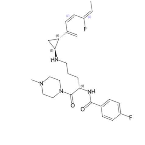 C=C(/C=C\C(F)=C/C)[C@H]1C[C@@H]1NCCC[C@H](NC(=O)c1ccc(F)cc1)C(=O)N1CCN(C)CC1